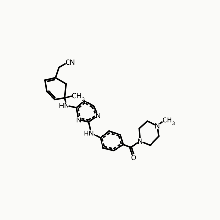 CN1CCN(C(=O)c2ccc(Nc3nccc(NC4(C)C=CC=C(CC#N)C4)n3)cc2)CC1